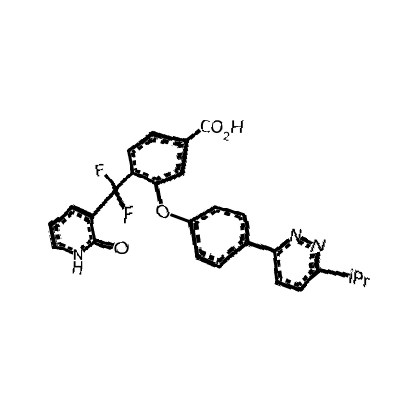 CC(C)c1ccc(-c2ccc(Oc3cc(C(=O)O)ccc3C(F)(F)c3ccc[nH]c3=O)cc2)nn1